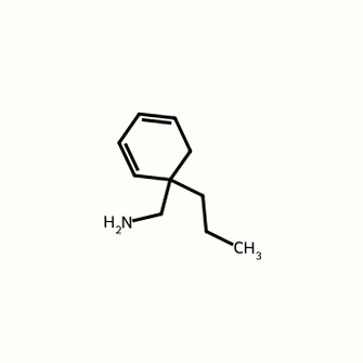 CCCC1(CN)C=CC=CC1